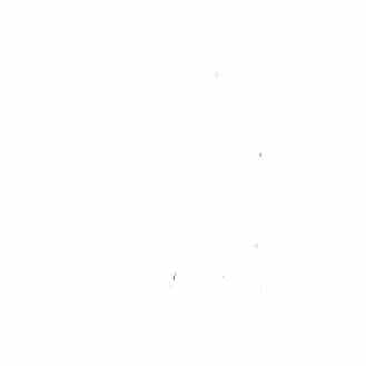 CCC(CC)O[C@@H]1C=C(C(=O)OC(OC(=O)[C@H](N)C(C)C)C(C)C)C[C@H](NC(=N)N)[C@H]1NC(C)=O